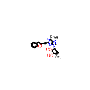 CNc1nc(C#Cc2cc3ccccc3o2)nc2c1ncn2[C@@H]1C2C[C@]2(C(C)=O)C(O)[C@H]1O